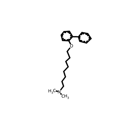 CN(C)CCCCCCCCOc1ccccc1-c1ccccc1